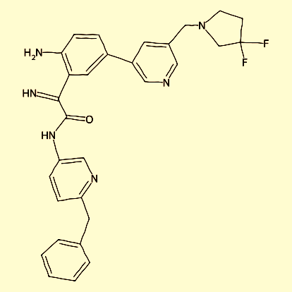 N=C(C(=O)Nc1ccc(Cc2ccccc2)nc1)c1cc(-c2cncc(CN3CCC(F)(F)C3)c2)ccc1N